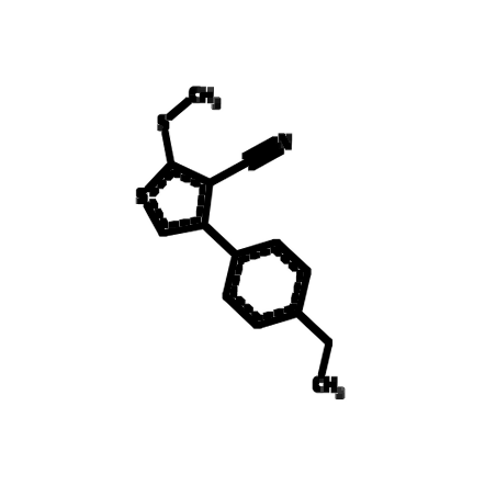 CCc1ccc(-c2csc(SC)c2C#N)cc1